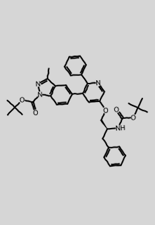 Cc1nn(C(=O)OC(C)(C)C)c2ccc(-c3cc(OC[C@H](Cc4ccccc4)NC(=O)OC(C)(C)C)cnc3-c3ccccc3)cc12